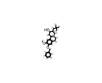 COc1cc2c(cc1OCc1ccccc1)CCN1CC(CC(C)(C)C)C(O)CC21